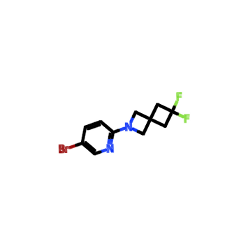 FC1(F)CC2(CN(c3ccc(Br)cn3)C2)C1